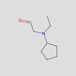 CCN(CC=O)C1CCCC1